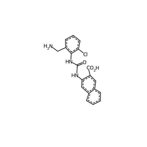 NCc1cccc(Cl)c1NC(=O)Nc1cc2ccccc2cc1C(=O)O